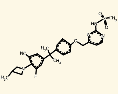 CC1CN(c2c(F)cc(C(C)(C)c3ccc(OCc4ccnc(NS(C)(=O)=O)n4)cc3)cc2C#N)C1